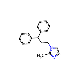 Cc1n[c]cn1CCC(c1ccccc1)c1ccccc1